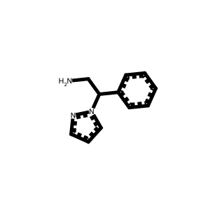 NCC(c1ccccc1)n1cccn1